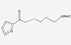 CCCCCCCCCCCCC(=O)c1ccco1